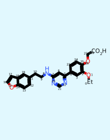 CCOc1cc(-c2cc(NCCc3ccc4occc4c3)ncn2)ccc1OCC(=O)O